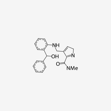 CNC(=O)C1=NCC=C1CNc1ccccc1C(O)c1ccccc1